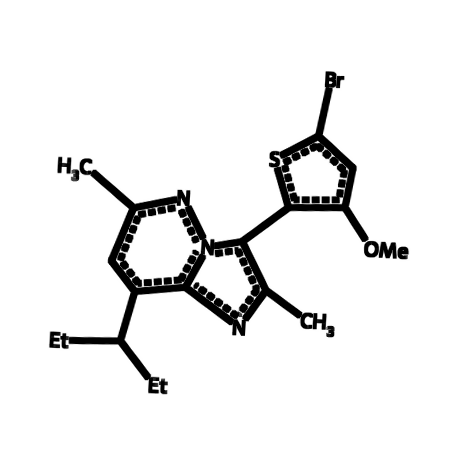 CCC(CC)c1cc(C)nn2c(-c3sc(Br)cc3OC)c(C)nc12